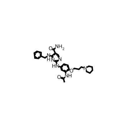 CC(=O)Nc1cc(Nc2ncc(C(N)=O)c(NCc3ccccc3)n2)ccc1OCCCN1CCCCC1